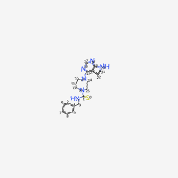 S=C(NCc1ccccc1)N1CCCN(c2ncnc3[nH]ccc23)CC1